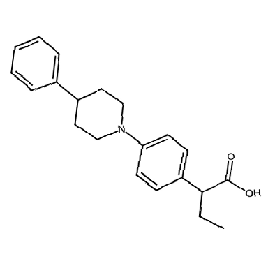 CCC(C(=O)O)c1ccc(N2CCC(c3ccccc3)CC2)cc1